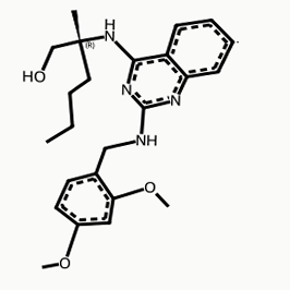 CCCC[C@](C)(CO)Nc1nc(NCc2ccc(OC)cc2OC)nc2c[c]ccc12